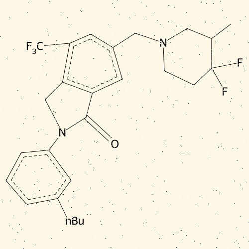 CCCCc1cccc(N2Cc3c(cc(CN4CCC(F)(F)C(C)C4)cc3C(F)(F)F)C2=O)c1